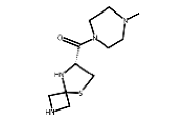 CN1CCN(C(=O)[C@@H]2CSC3(CNC3)N2)CC1